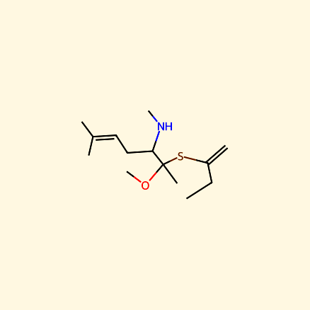 C=C(CC)SC(C)(OC)C(CC=C(C)C)NC